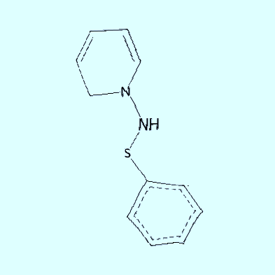 [c]1ccccc1SNN1C=CC=CC1